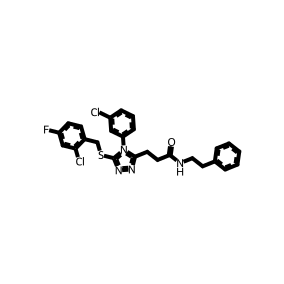 O=C(CCc1nnc(SCc2ccc(F)cc2Cl)n1-c1cccc(Cl)c1)NCCc1ccccc1